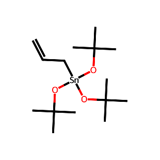 C=C[CH2][Sn]([O]C(C)(C)C)([O]C(C)(C)C)[O]C(C)(C)C